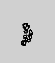 c1ccc2c(c1)-c1c(N(c3ccc4c(ccc5ccccc54)c3)c3cccc4ccccc34)cccc1C21C2CC3CC(C2)CC1C3